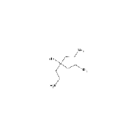 CCCC(CCN)(CCN)CCN